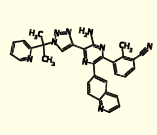 Cc1c(C#N)cccc1-c1nc(N)c(-c2cn(C(C)(C)c3ccccn3)nn2)nc1-c1ccc2ncccc2c1